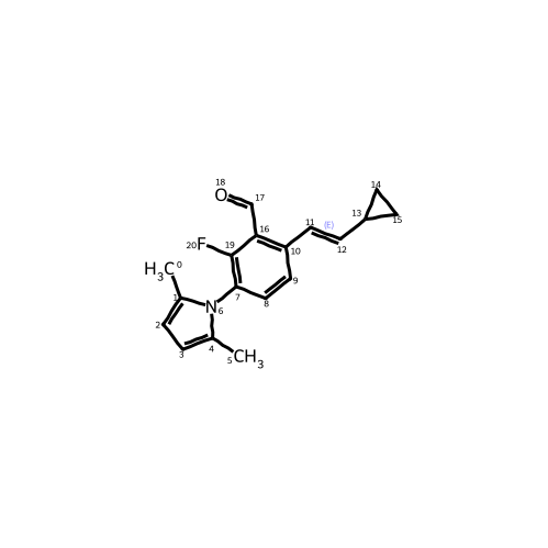 Cc1ccc(C)n1-c1ccc(/C=C/C2CC2)c(C=O)c1F